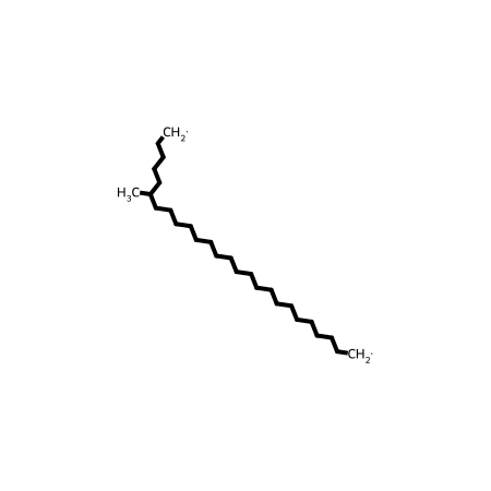 [CH2]CCCCCCCCCCCCCCCCCCCC(C)CCCC[CH2]